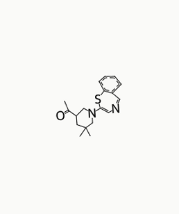 CC(=O)C1CN(C2=CN=Cc3ccccc3S2)CC(C)(C)C1